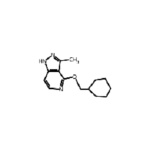 Cc1n[nH]c2ccnc(OCC3CCCCC3)c12